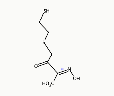 O=C(O)/C(=N\O)C(=O)CSCCS